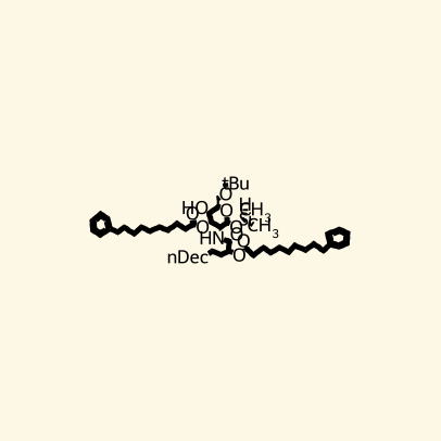 CCCCCCCCCCCCC(OC(=O)CCCCCCCCCc1ccccc1)C(=O)N[C@H]1C(O[SiH](C)C)O[C@H](COC(C)(C)C)[C@@H](O)[C@@H]1OC(=O)CCCCCCCCCc1ccccc1